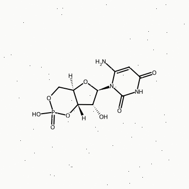 Nc1cc(=O)[nH]c(=O)n1[C@@H]1O[C@@H]2COP(=O)(O)O[C@H]2[C@H]1O